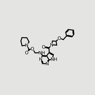 O=C(OCNc1ncnc2[nH]cc(C(=O)N3CC(OCc4ccccc4)C3)c12)N1CCCCC1